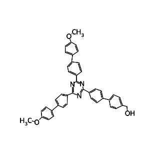 COc1ccc(-c2ccc(-c3nc(-c4ccc(-c5ccc(CO)cc5)cc4)nc(-c4ccc(-c5ccc(OC)cc5)cc4)n3)cc2)cc1